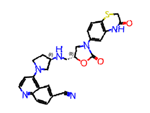 N#Cc1ccc2nccc(N3CC[C@@H](NC[C@@H]4CN(c5ccc6c(c5)NC(=O)CS6)C(=O)O4)C3)c2c1